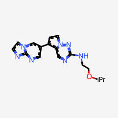 CC(C)OCCNc1ncc2c(-c3cnc4nccn4c3)ccn2n1